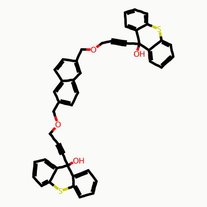 OC1(C#CCOCc2ccc3cc(COCC#CC4(O)c5ccccc5Sc5ccccc54)ccc3c2)c2ccccc2Sc2ccccc21